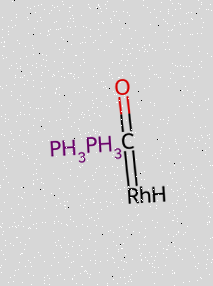 O=[C]=[RhH].P.P